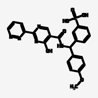 COc1ccc(C(NC(=O)c2cnc(-c3cccnn3)nc2O)c2cccc(P(=O)(O)O)c2)cc1